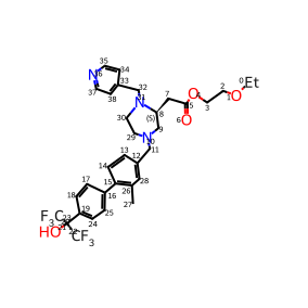 CCOCCOC(=O)C[C@H]1CN(Cc2ccc(-c3ccc(C(O)(C(F)(F)F)C(F)(F)F)cc3)c(C)c2)CCN1Cc1ccncc1